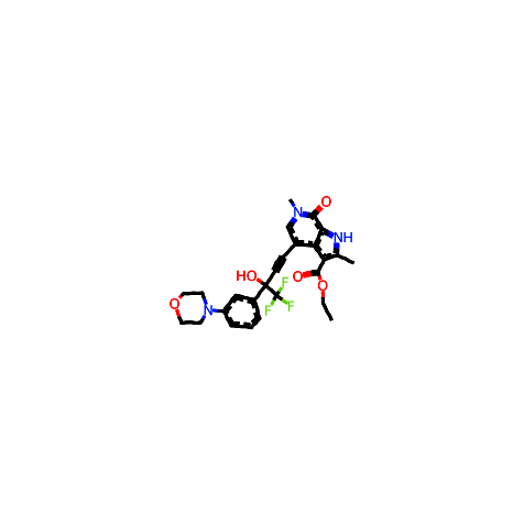 CCOC(=O)c1c(C)[nH]c2c(=O)n(C)cc(C#CC(O)(c3cccc(N4CCOCC4)c3)C(F)(F)F)c12